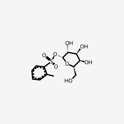 Cc1ccccc1S(=O)(=O)O[C@H]1O[C@H](CO)[C@H](O)[C@H](O)[C@H]1O